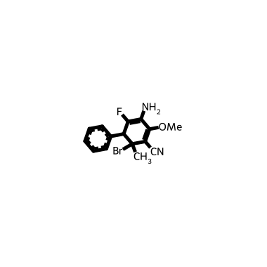 COC1=C(C#N)C(C)(Br)C(c2ccccc2)C(F)=C1N